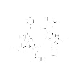 CC(C)C[C@H](NC(=O)OCc1ccccc1)C(=O)NN(CCC(N)=O)C(=O)C(F)Cl.NC(=O)CCN(NC(=O)C(CC1CCCCC1)NC(=O)O)C(=O)C(F)Cl